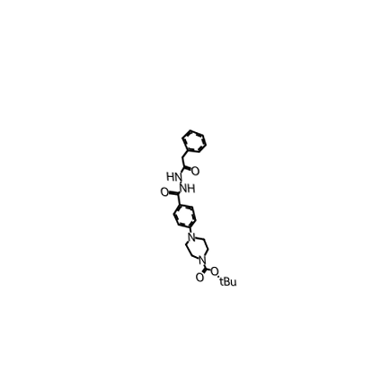 CC(C)(C)OC(=O)N1CCN(c2ccc(C(=O)NNC(=O)Cc3ccccc3)cc2)CC1